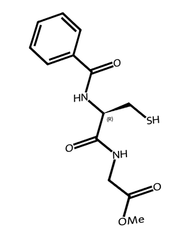 COC(=O)CNC(=O)[C@H](CS)NC(=O)c1ccccc1